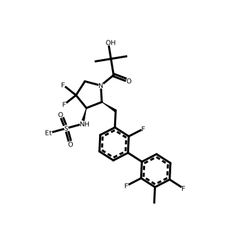 CCS(=O)(=O)N[C@@H]1[C@H](Cc2cccc(-c3ccc(F)c(C)c3F)c2F)N(C(=O)C(C)(C)O)CC1(F)F